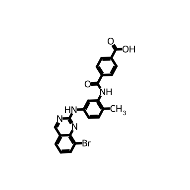 Cc1ccc(Nc2ncc3cccc(Br)c3n2)cc1NC(=O)c1ccc(C(=O)O)cc1